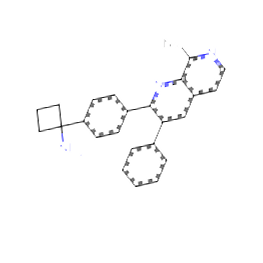 N#Cc1nccc2cc(-c3ccccc3)c(-c3ccc(C4(N)CCC4)cc3)nc12